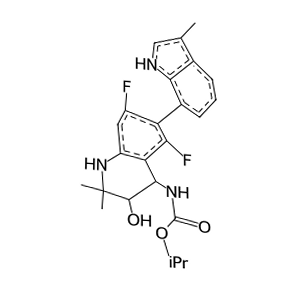 Cc1c[nH]c2c(-c3c(F)cc4c(c3F)C(NC(=O)OC(C)C)C(O)C(C)(C)N4)cccc12